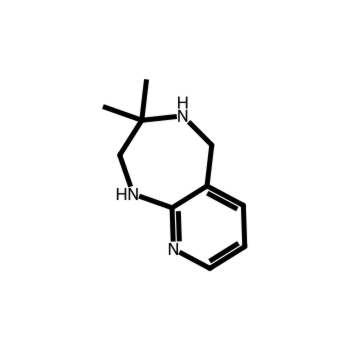 CC1(C)CNc2ncccc2CN1